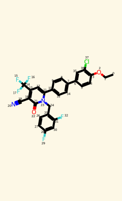 CCOc1ccc(-c2ccc(-c3cc(C(F)(F)F)c(C#N)c(=O)n3Cc3ccc(F)cc3F)cc2)cc1Cl